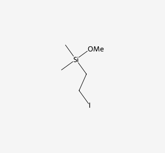 CO[Si](C)(C)CCI